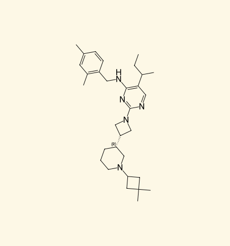 CCC(C)c1cnc(N2CC([C@H]3CCCN(C4CC(C)(C)C4)C3)C2)nc1NCc1ccc(C)cc1C